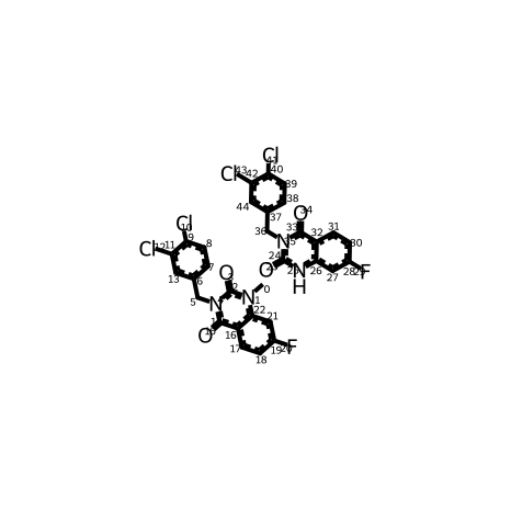 Cn1c(=O)n(Cc2ccc(Cl)c(Cl)c2)c(=O)c2ccc(F)cc21.O=c1[nH]c2cc(F)ccc2c(=O)n1Cc1ccc(Cl)c(Cl)c1